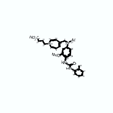 COc1cc(N(CC2=CC=CN(CCCC(=O)O)C=C2)C(C)=O)ccc1NC(=O)Nc1ccccc1C